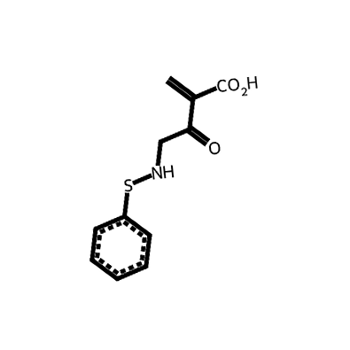 C=C(C(=O)O)C(=O)CNSc1ccccc1